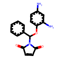 Nc1ccc(OC(c2ccccc2)N2C(=O)C=CC2=O)c(N)c1